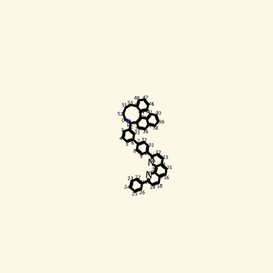 C1=C(/c2cccc(-c3ccc(-c4ccc5ccc6ccc(-c7ccccc7)nc6c5n4)cc3)c2)c2ccc3ccccc3c2-c2ccccc2CCC/1